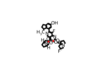 CC(=O)OCOC(=O)N1[C@@H]2CC[C@H]1CN(c1nc(OC[C@@]34CCCN3C[C@H](F)C4)nc3c(F)c(-c4cc(O)cc5c4C(C)CC5)ncc13)C2